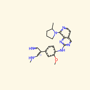 CN/C=C(\C=N)c1ccc(Nc2ncc3ccnc(N4CCCC4C)c3n2)c(OC)c1